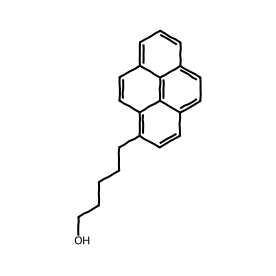 OCCCCCc1ccc2ccc3cccc4ccc1c2c34